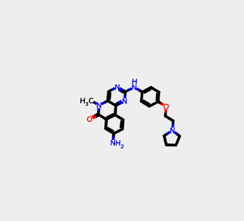 Cn1c(=O)c2cc(N)ccc2c2nc(Nc3ccc(OCCN4CCCC4)cc3)ncc21